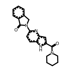 O=C(c1cc2nc(N3Cc4ccccc4C3=O)ccc2[nH]1)N1CCCCC1